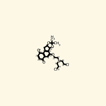 CC1(C)OC2Cc3c4c(cc(OCCN(CCCl)CCCl)c3C2O1)C(=O)C=CC4=O